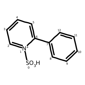 O=S(=O)(O)[n+]1ccccc1-c1ccccc1